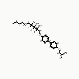 CCCCOCC(F)(F)C(F)(F)C(F)(F)COc1ccc(-c2ccc(OC[C@H](C)Cl)cc2)cc1